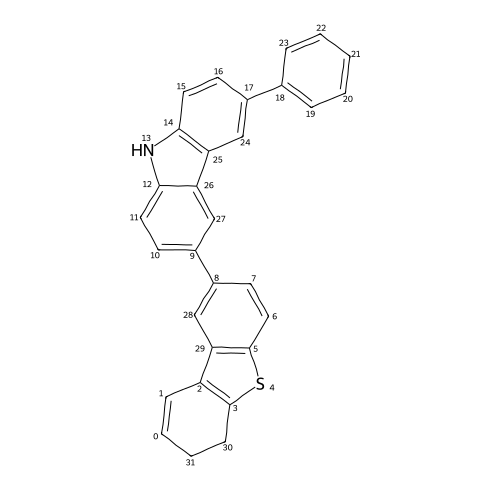 C1=Cc2c(sc3ccc(-c4ccc5[nH]c6ccc(-c7ccccc7)cc6c5c4)cc23)CC1